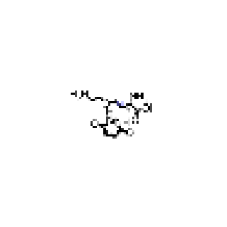 NCCO/C=C/[C@H](N)C(=O)O.O=c1ccc(=O)[nH][nH]1